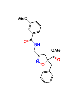 COC(=O)C1(Cc2ccccc2)CC(CNC(=O)c2cccc(OC)c2)=NO1